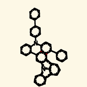 c1ccc(-c2ccc(N(c3ccc(-c4ccccc4)cc3)c3ccccc3-c3ccc4c5cccc6c7ccccc7n(c4c3)c65)cc2)cc1